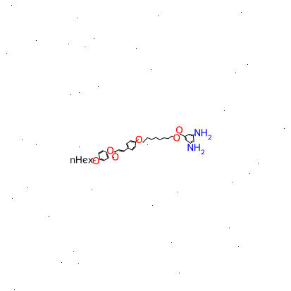 CCCCCCOc1ccc(OC(=O)C=Cc2ccc(OCCCCCCCCOC(=O)c3cc(N)cc(N)c3)cc2)cc1